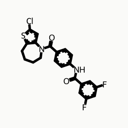 O=C(Nc1ccc(C(=O)N2CCCCc3sc(Cl)cc32)cc1)c1cc(F)cc(F)c1